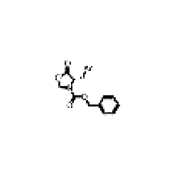 CC(=O)C[C@H]1C(=O)OCN1C(=O)OCc1ccccc1